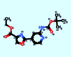 CCOC(=O)c1coc(-c2ccnc(NC(=O)OC(C)(C)C)c2)n1